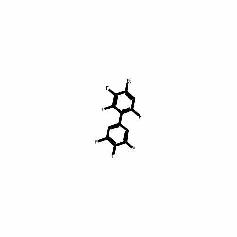 CCc1cc(F)c(-c2cc(F)c(F)c(F)c2)c(F)c1F